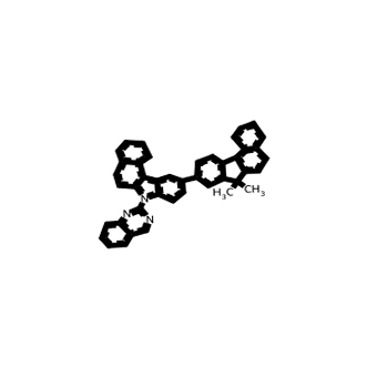 CC1(C)c2cc(-c3ccc4c(c3)c3c5ccccc5ccc3n4-c3ncc4ccccc4n3)ccc2-c2c1ccc1ccccc21